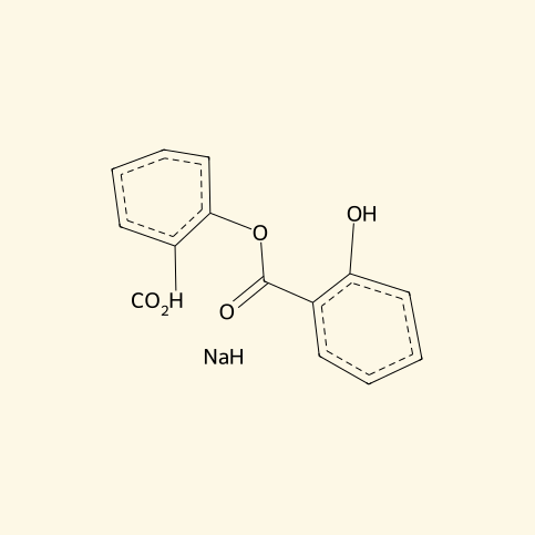 O=C(Oc1ccccc1C(=O)O)c1ccccc1O.[NaH]